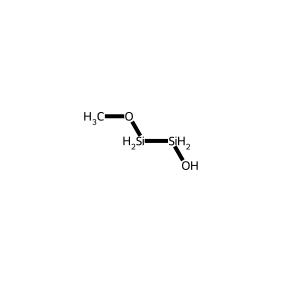 CO[SiH2][SiH2]O